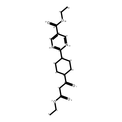 CCOC(=O)CC(=O)C1CCC(c2ncc(C(=O)OCC)cn2)CC1